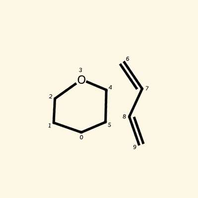 C1CCOCC1.C=CC=C